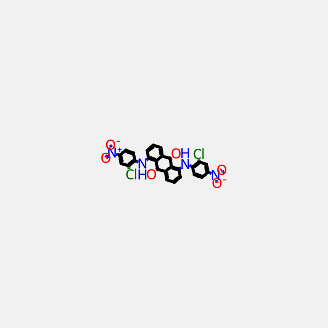 O=C1c2cccc(Nc3ccc([N+](=O)[O-])cc3Cl)c2C(=O)c2cccc(Nc3ccc([N+](=O)[O-])cc3Cl)c21